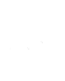 C=CN=C=NCC